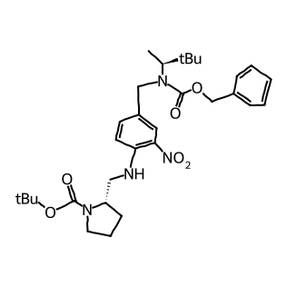 C[C@H](N(Cc1ccc(NC[C@@H]2CCCN2C(=O)OC(C)(C)C)c([N+](=O)[O-])c1)C(=O)OCc1ccccc1)C(C)(C)C